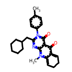 Cc1ccc(-n2c(CC3CCCCC3)nc3c(c(=O)c4c(n3C)=CCCC=4)c2=O)cc1